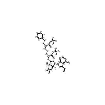 C=Cc1cn([C@@H]2C[C@H](CN(CCCN(CCc3ccccc3)C(=O)OC(C)(C)C)C(=O)OC(C)(C)C)[C@H]3OC(C)(C)O[C@H]32)c2ncnc(Cl)c12